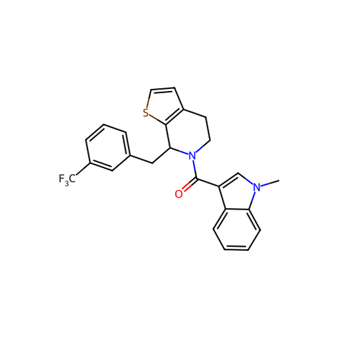 Cn1cc(C(=O)N2CCc3ccsc3C2Cc2cccc(C(F)(F)F)c2)c2ccccc21